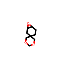 C1OCC2(CCC3OC3C2)CO1